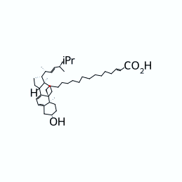 CC(C)[C@@H](C)/C=C/[C@@H](C)[C@H]1CC[C@H]2C3=CC=C4C[C@@H](O)CC[C@]4(C)[C@@]3(CCCCCCCCCCCCC/C=C/C(=O)O)CC[C@]12C